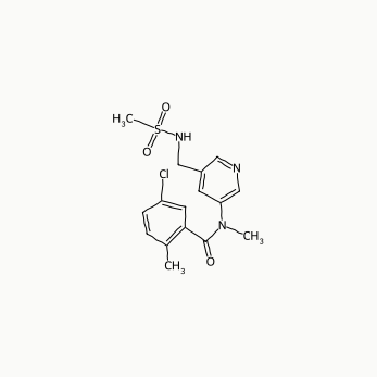 Cc1ccc(Cl)cc1C(=O)N(C)c1cncc(CNS(C)(=O)=O)c1